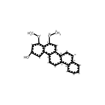 COc1cc(O)cc2c1c(OC)cc1c2ccc2c3ccccc3ccc21